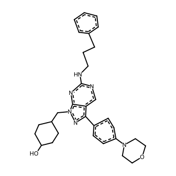 OC1CCC(Cn2nc(-c3ccc(N4CCOCC4)cc3)c3cnc(NCCCc4ccccc4)nc32)CC1